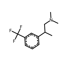 CC(CN(C)C)c1cccc(C(F)(F)F)c1